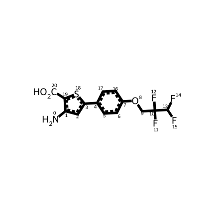 Nc1cc(-c2ccc(OCC(F)(F)C(F)F)cc2)sc1C(=O)O